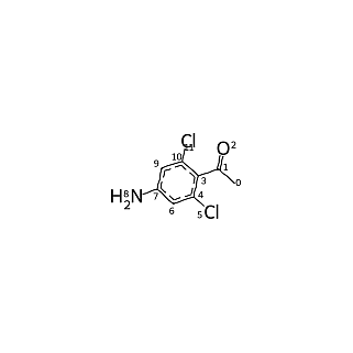 CC(=O)c1c(Cl)cc(N)cc1Cl